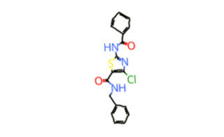 O=C(Nc1nc(Cl)c(C(=O)NCc2ccccc2)s1)c1ccccc1